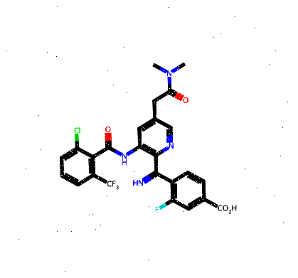 CN(C)C(=O)Cc1cnc(C(=N)c2ccc(C(=O)O)cc2F)c(NC(=O)c2c(Cl)cccc2C(F)(F)F)c1